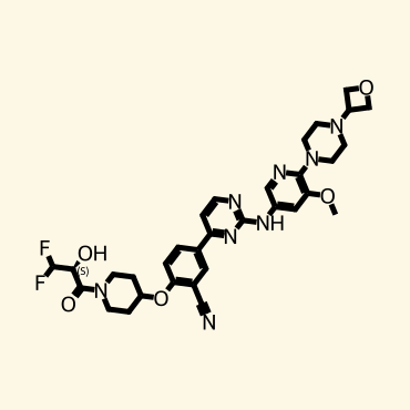 COc1cc(Nc2nccc(-c3ccc(OC4CCN(C(=O)[C@H](O)C(F)F)CC4)c(C#N)c3)n2)cnc1N1CCN(C2COC2)CC1